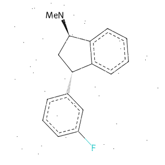 CN[C@@H]1C[C@@H](c2cccc(F)c2)c2ccccc21